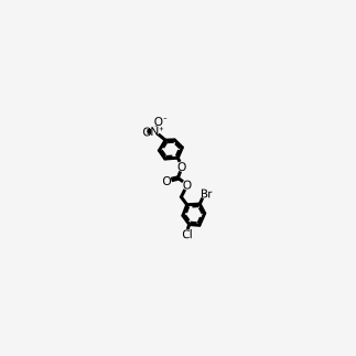 O=C(OCc1cc(Cl)ccc1Br)Oc1ccc([N+](=O)[O-])cc1